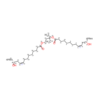 CCCCCC[C@H](O)C/C=C\CCCCCCCC(=O)OC(C)(C)CCOC(=O)CCCCCCC/C=C\C[C@H](O)CCCCCC